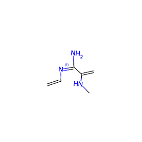 C=C/N=C(/N)C(=C)NC